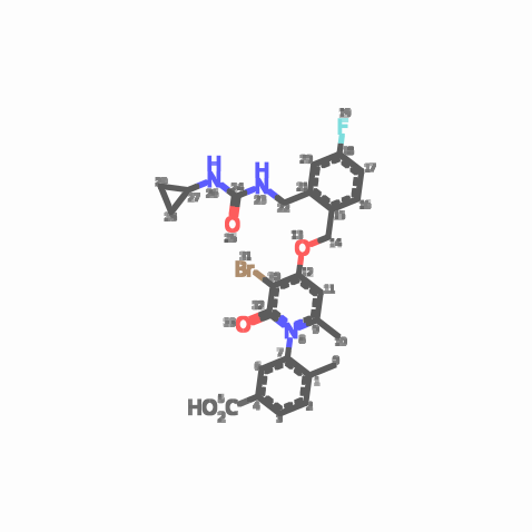 Cc1ccc(C(=O)O)cc1-n1c(C)cc(OCc2ccc(F)cc2CNC(=O)NC2CC2)c(Br)c1=O